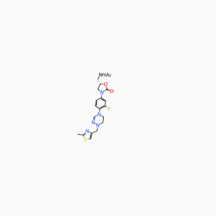 CC(=O)NC[C@H]1CN(c2ccc(N3C=NN(Cc4csc(C)n4)CC3)c(F)c2)C(=O)O1